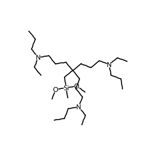 CCCN(CC)CCCC(CCCN(CC)CCC)(CCCN(CC)CCC)C[Si](C)(OC)OC